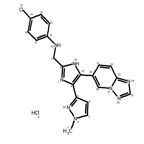 Cl.Cn1ccc(-c2nc(CNc3ccc(Cl)cc3)[nH]c2-c2ccc3ncnn3c2)n1